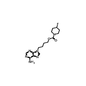 Nc1ncnc2c1ncn2CCCCOC(=O)N1CCC(F)CC1